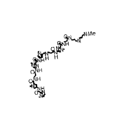 CNCCCN(C)CCCN(C)C(=O)CCNC(=O)c1nc(NC(=O)CCNCc2cc(NC(=O)c3nc(NC(=O)CCNC(=O)c4cc(NC(=O)c5nccn5C)cn4C)cn3C)cn2C)cn1C